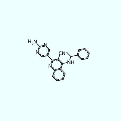 CC(Nc1c(C#N)c(-c2cnc(N)nc2)nc2ccccc12)c1ccccc1